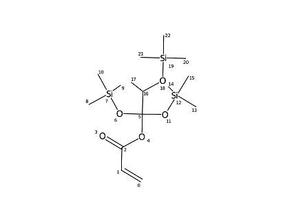 C=CC(=O)OC(O[Si](C)(C)C)(O[Si](C)(C)C)C(C)O[Si](C)(C)C